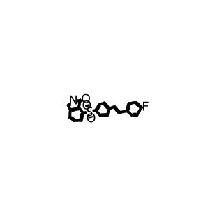 O=C1N=Cc2cccc(S(=O)(=O)c3ccc(/C=C/c4ccc(F)cc4)cc3)c21